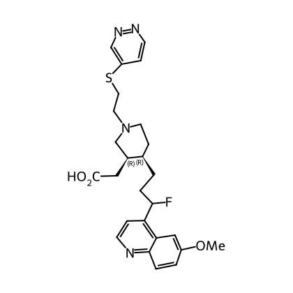 COc1ccc2nccc(C(F)CC[C@@H]3CCN(CCSc4ccnnc4)C[C@@H]3CC(=O)O)c2c1